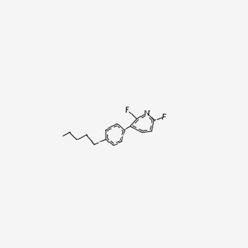 CCCCCc1ccc(-c2ccc(F)nc2F)cc1